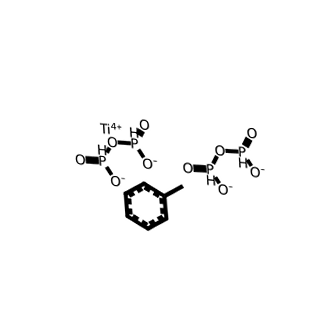 Cc1ccccc1.O=[PH]([O-])O[PH](=O)[O-].O=[PH]([O-])O[PH](=O)[O-].[Ti+4]